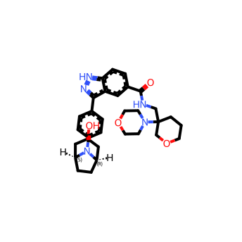 O=C(NCC1(N2CCOCC2)CCCOC1)c1ccc2[nH]nc(-c3ccc(N4[C@@H]5CC[C@H]4CC(O)C5)cc3)c2c1